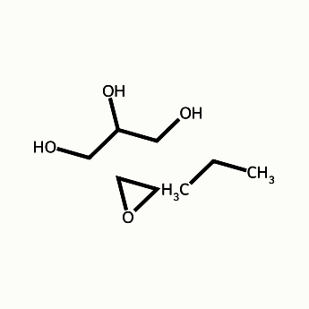 C1CO1.CCC.OCC(O)CO